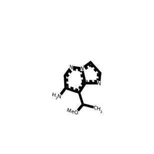 COC(C)c1c(N)cnn2ccnc12